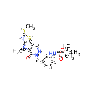 CSc1nc2c(s1)c1cnn(Cc3cccc(NC(=O)OC(C)(C)C)c3)c(=O)c1n2C